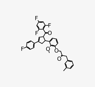 COc1c(OCC(=O)Cc2cccc(C)c2)cccc1C1CC(c2ccc(F)cc2)=CC1C(=O)c1c(F)cc(F)cc1F